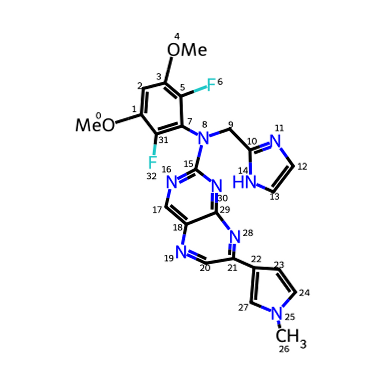 COc1cc(OC)c(F)c(N(Cc2ncc[nH]2)c2ncc3ncc(-c4ccn(C)c4)nc3n2)c1F